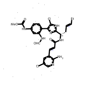 CC/C=C/C[C@H](NC(=O)/C=C/c1cc(Cl)cnc1N)c1nc(-c2ccc(NC(=O)OC)cc2NC=O)c(Cl)[nH]1